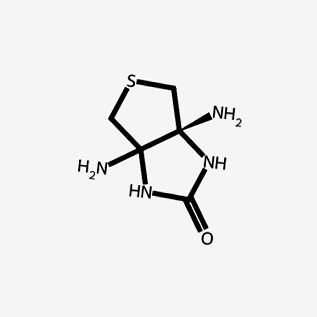 NC12CSC[C@]1(N)NC(=O)N2